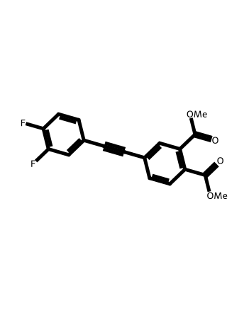 COC(=O)c1ccc(C#Cc2ccc(F)c(F)c2)cc1C(=O)OC